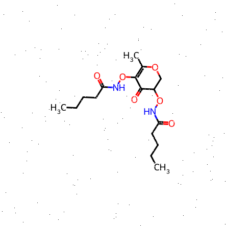 CCCCC(=O)NOC1=C(C)OCC(ONC(=O)CCCC)C1=O